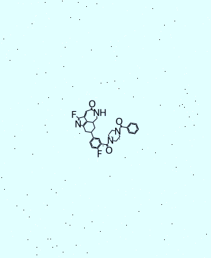 O=C1C=C2C(F)=NC3=C2C(CN1)CC(c1ccc(F)c(C(=O)N2CCN(C(=O)c4ccccc4)CC2)c1)C3